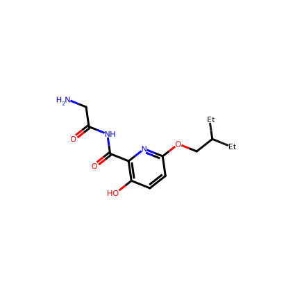 CCC(CC)COc1ccc(O)c(C(=O)NC(=O)CN)n1